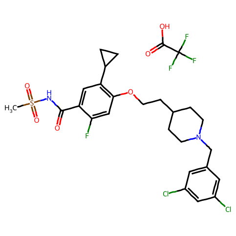 CS(=O)(=O)NC(=O)c1cc(C2CC2)c(OCCC2CCN(Cc3cc(Cl)cc(Cl)c3)CC2)cc1F.O=C(O)C(F)(F)F